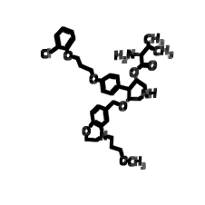 COCCCN1CCOc2ccc(CO[C@H]3CNC[C@@H](OC(=O)[C@@H](N)C(C)C)C3c3ccc(OCCCOc4ccccc4Cl)cc3)cc21